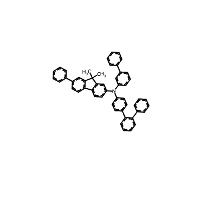 CC1(C)c2cc(-c3ccccc3)ccc2-c2ccc(N(c3ccc(-c4ccccc4-c4ccccc4)cc3)c3cccc(-c4ccccc4)c3)cc21